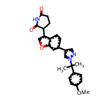 COc1ccc(C(C)(C)n2cc(-c3ccc4c(C5CCC(=O)NC5=O)coc4c3)cn2)cc1